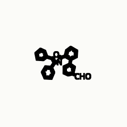 O=Cc1cccc(-c2ccccc2-c2nc(-c3ccccc3)c(-c3ccccc3)o2)c1